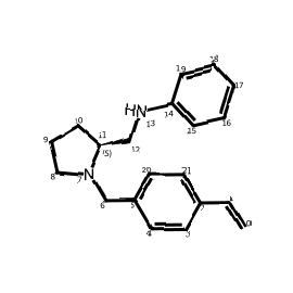 C=Cc1ccc(CN2CCC[C@H]2CNc2ccccc2)cc1